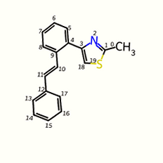 Cc1nc(-c2ccccc2C=Cc2ccccc2)cs1